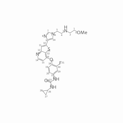 COCCNCCn1cnc(-c2cc3nccc(Oc4ccc(NC(=O)NC5CC5)cc4F)c3s2)c1